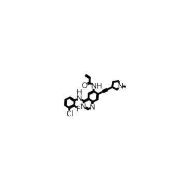 C=CC(=O)Nc1cc2c(Nc3cccc(Cl)c3F)ncnc2cc1C#CC1CCN(C)C1